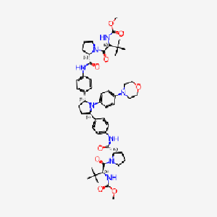 COC(=O)N[C@H](C(=O)N1CCC[C@H]1C(=O)Nc1ccc([C@H]2CC[C@H](c3ccc(NC(=O)[C@@H]4CCCN4C(=O)[C@@H](NC(=O)OC)C(C)(C)C)cc3)N2c2ccc(N3CCOCC3)cc2)cc1)C(C)(C)C